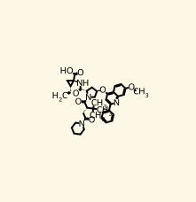 C=C[C@@H]1C[C@]1(NC(=O)[C@@H]1C[C@@H](Oc2cc(-c3ccccc3)nc3cc(OC)ccc23)CN1C(=O)[C@@H](CC(=O)N1CCCCC1)C(C)(C)C)C(=O)O